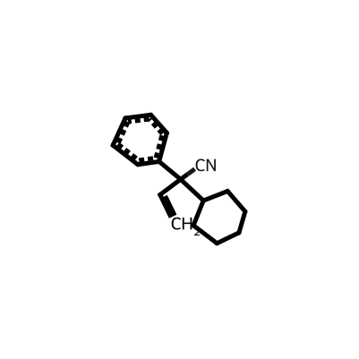 C=CC(C#N)(c1ccccc1)C1CCCCC1